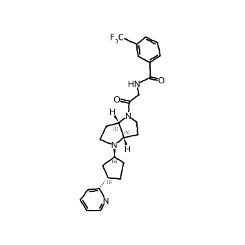 O=C(NCC(=O)N1CC[C@H]2[C@@H]1CCN2[C@H]1CC[C@H](c2ccccn2)C1)c1cccc(C(F)(F)F)c1